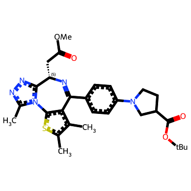 COC(=O)C[C@@H]1N=C(c2ccc(N3CCC(C(=O)OC(C)(C)C)C3)cc2)c2c(sc(C)c2C)-n2c(C)nnc21